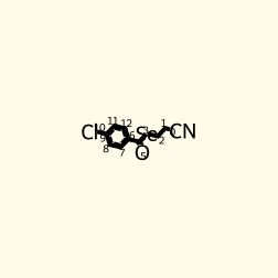 N#CCC[Se]C(=O)c1ccc(Cl)cc1